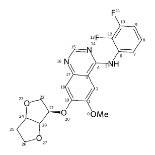 COc1cc2c(Nc3cccc(F)c3F)ncnc2cc1O[C@@H]1COC2CCOC21